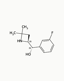 CC1(C)C[C@@H]([C@@H](O)c2cccc(F)c2)N1